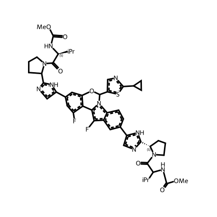 COC(=O)NC(C(=O)N1CCC[C@H]1c1ncc(-c2ccc3c(c2)c(F)c2n3C(c3cnc(C4CC4)s3)Oc3cc(-c4cnc(C5CCCN5C(=O)[C@@H](NC(=O)OC)C(C)C)[nH]4)cc(F)c3-2)[nH]1)C(C)C